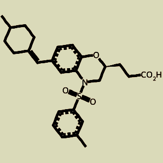 Cc1cccc(S(=O)(=O)N2C[C@H](CCC(=O)O)Oc3ccc(C=C4CCC(C)CC4)cc32)c1